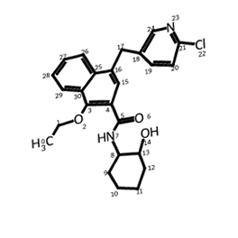 CCOc1c(C(=O)NC2CCCCC2O)cc(Cc2ccc(Cl)nc2)c2ccccc12